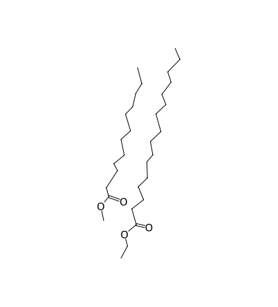 CCCCCCCCCCCC(=O)OC.CCCCCCCCCCCCCCCC(=O)OCC